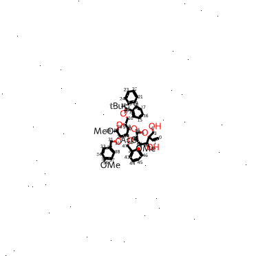 C=CC1(CO)O[C@@H](O[C@@H]2C(CO[Si](c3ccccc3)(c3ccccc3)C(C)(C)C)O[C@H](OC)C(OCc3ccc(OC)cc3)[C@@H]2OCc2ccccc2)C(OC(C)=O)[C@@H](OC)[C@@H]1O